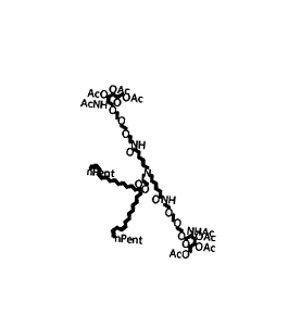 CCCCC/C=C\C/C=C\CCCCCCCCC1(CCCCCCCC/C=C\C/C=C\CCCCC)OC[C@H](CN(CCCCCC(=O)NCCOCCOCCO[C@@H]2OC(COC(C)=O)[C@H](OC(C)=O)C(OC(C)=O)[C@@H]2NC(C)=O)CCCCCC(=O)NCCOCCOCCO[C@@H]2OC(COC(C)=O)[C@H](OC(C)=O)C(OC(C)=O)[C@@H]2NC(C)=O)O1